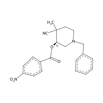 CC1(C#N)CCN(Cc2ccccc2)C[C@H]1OC(=O)c1ccc([N+](=O)[O-])cc1